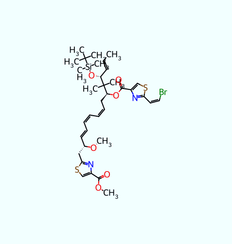 C/C=C/[C@@H](O[Si](C)(C)C(C)(C)C)C(C)(C)[C@H](C\C=C/C=C\C=C\[C@@H](Cc1nc(C(=O)OC)cs1)OC)OC(=O)c1csc(/C=C\Br)n1